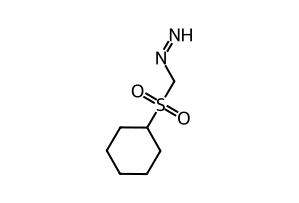 N=NCS(=O)(=O)C1CCCCC1